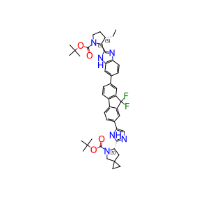 CC[C@H]1CCN(C(=O)OC(C)(C)C)[C@@H]1c1nc2ccc(-c3ccc4c(c3)C(F)(F)c3cc(-c5cnc([C@@H]6CC7(CC7)CN6C(=O)OC(C)(C)C)[nH]5)ccc3-4)cc2[nH]1